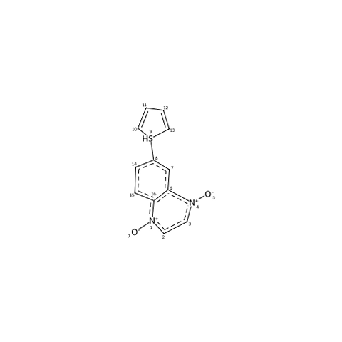 [O-][n+]1cc[n+]([O-])c2cc([SH]3C=CC=C3)ccc21